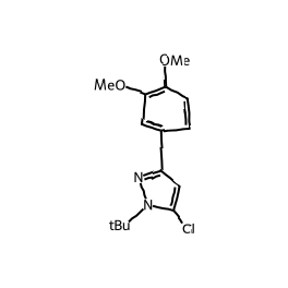 COc1ccc(-c2cc(Cl)n(C(C)(C)C)n2)cc1OC